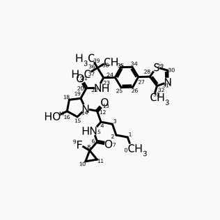 CCCCC(NC(=O)C1(F)CC1)C(=O)N1CC(O)CC1C(=O)NC(c1ccc(-c2scnc2C)cc1)C(C)(C)C